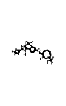 COC1=CC(OC/C2=C(F)/C=C(C(F)(F)F)\C=C/CC2)=CCC1c1[nH]c(C2CC(F)(F)C2)nc1Br